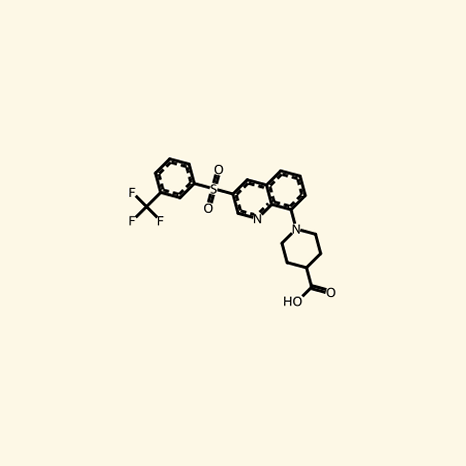 O=C(O)C1CCN(c2cccc3cc(S(=O)(=O)c4cccc(C(F)(F)F)c4)cnc23)CC1